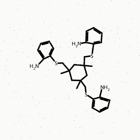 CC1(CSc2ccccc2N)CC(C)(CSc2ccccc2N)CC(C)(CSc2ccccc2N)C1